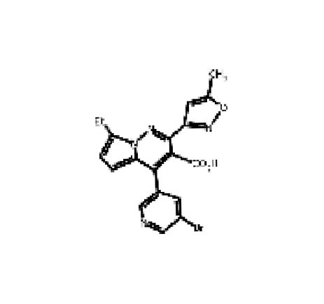 CCc1ccc2c(-c3cncc(Br)c3)c(C(=O)O)c(-c3cc(C)on3)nn12